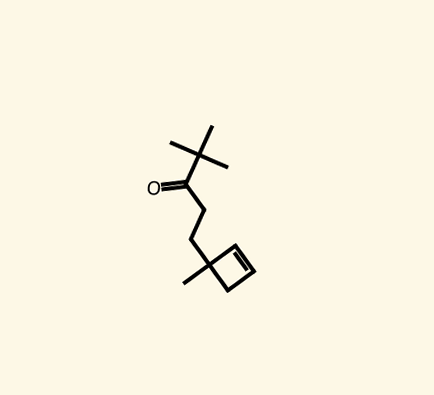 CC1(CCC(=O)C(C)(C)C)C=CC1